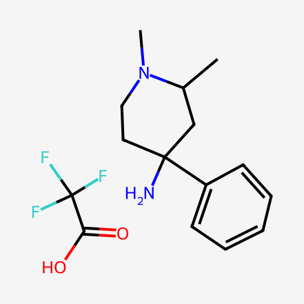 CC1CC(N)(c2ccccc2)CCN1C.O=C(O)C(F)(F)F